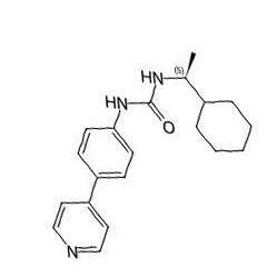 C[C@H](NC(=O)Nc1ccc(-c2ccncc2)cc1)C1CCCCC1